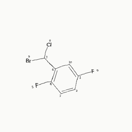 Fc1ccc(F)c(C(Cl)Br)c1